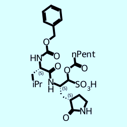 CCCCCC(=O)OC([C@H](C[C@@H]1CCNC1=O)NC(=O)[C@H](CC(C)C)NC(=O)OCc1ccccc1)S(=O)(=O)O